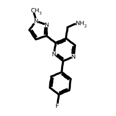 Cn1ccc(-c2nc(-c3ccc(F)cc3)ncc2CN)n1